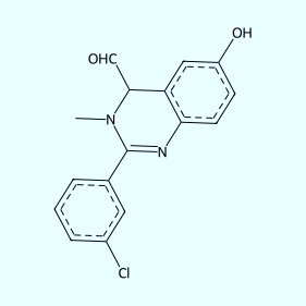 CN1C(c2cccc(Cl)c2)=Nc2ccc(O)cc2C1C=O